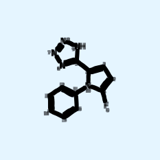 Fc1ccc(-c2nnn[nH]2)n1-c1cc[c]cc1